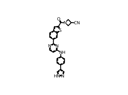 N#CC1CN(C(=O)c2cc3ccc(-c4nccc(Nc5ccc(-c6cn[nH]c6)cc5)n4)cc3s2)C1